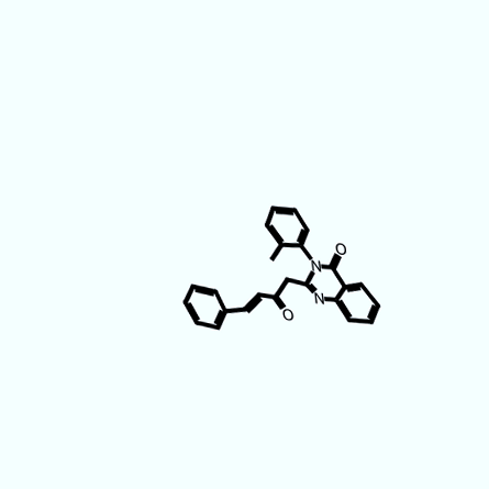 Cc1ccccc1-n1c(CC(=O)C=Cc2ccccc2)nc2ccccc2c1=O